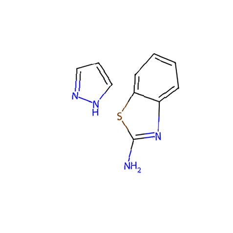 Nc1nc2ccccc2s1.c1cn[nH]c1